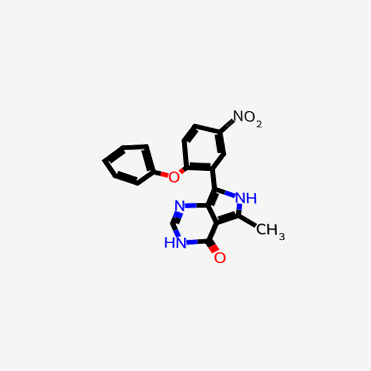 Cc1[nH]c(-c2cc([N+](=O)[O-])ccc2Oc2ccccc2)c2nc[nH]c(=O)c12